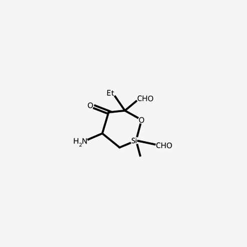 CCC1(C=O)O[Si](C)(C=O)CC(N)C1=O